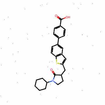 O=C(O)c1ccc(-c2ccc3sc(CC4CCN(C5CCCCC5)C4=O)cc3c2)cc1